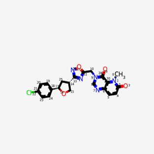 Cn1c(=O)ccc2ncn(Cc3nc([C@@H]4CO[C@@H](c5ccc(Cl)cc5)C4)no3)c(=O)c21